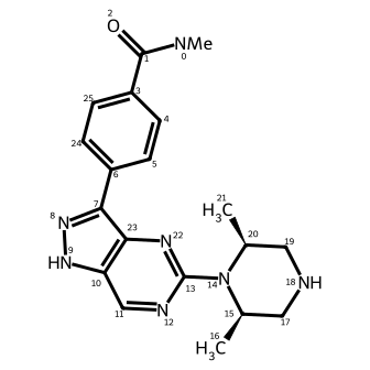 CNC(=O)c1ccc(-c2n[nH]c3cnc(N4[C@H](C)CNC[C@@H]4C)nc23)cc1